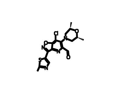 Cc1ncc(-c2noc3c(Cl)c(N4C[C@@H](C)O[C@@H](C)C4)c(C=O)nc23)s1